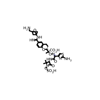 CC1(C)[C@H](NC(=O)/C(=N\O[C@](C)(C(=O)O)[C@H]2CCc3cc(C(=N)NC45COC(CN)(C4)C5)ccc3O2)c2csc(N)n2)C(=O)N1OS(=O)(=O)O